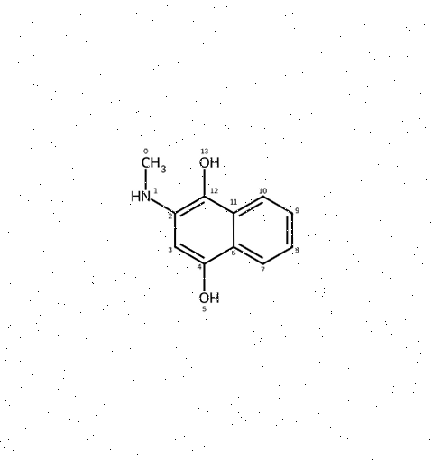 CNc1cc(O)c2ccccc2c1O